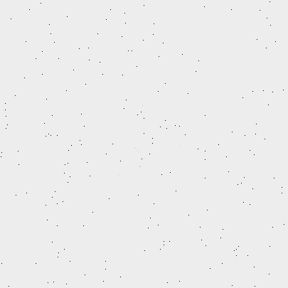 O=C(O)c1ccc2c(c1)cc(COc1ccccc1)n2Cc1ccccc1OC(F)(F)F